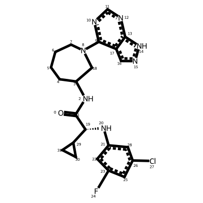 O=C(NC1CCCCN(c2ncnc3[nH]ncc23)C1)[C@H](Nc1cc(F)cc(Cl)c1)C1CC1